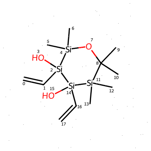 C=C[Si]1(O)[Si](C)(C)OC(C)(C)[Si](C)(C)[Si]1(O)C=C